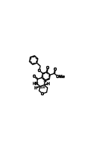 COC(=O)c1cn2c(c(OCc3ccccc3)c1=O)C(=O)N[C@H]1COCC[C@H]12